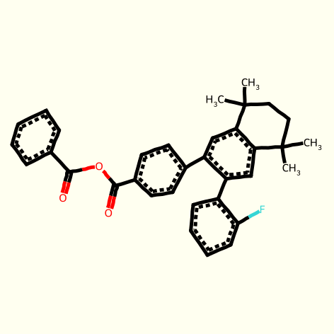 CC1(C)CCC(C)(C)c2cc(-c3ccccc3F)c(-c3ccc(C(=O)OC(=O)c4ccccc4)cc3)cc21